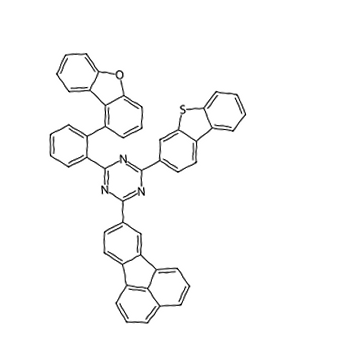 c1ccc(-c2cccc3oc4ccccc4c23)c(-c2nc(-c3ccc4c(c3)-c3cccc5cccc-4c35)nc(-c3ccc4c(c3)sc3ccccc34)n2)c1